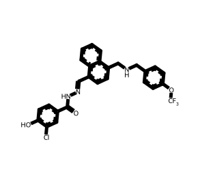 O=C(N/N=C/c1ccc(CNCc2ccc(OC(F)(F)F)cc2)c2ccccc12)c1ccc(O)c(Cl)c1